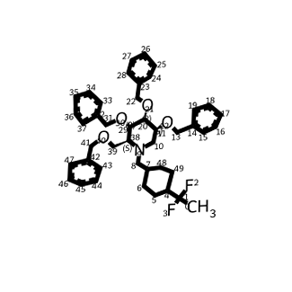 CC(F)(F)C1CCC(CN2C[C@H](OCc3ccccc3)[C@@H](OCc3ccccc3)[C@H](OCc3ccccc3)[C@@H]2COCc2ccccc2)CC1